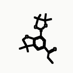 CCC(=O)c1cc(B2OC(C)(C)C(C)(C)O2)c2c(c1)C(C)(C)CO2